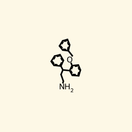 NCCC(c1ccccc1)c1ccccc1OCc1ccccc1